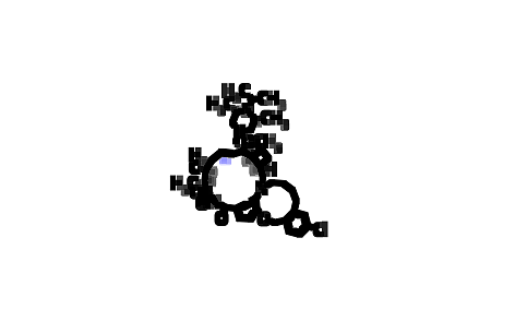 CO[C@]1(CN2C[C@@H](C)N(C(C)C)[C@@H](C)C2)/C=C/C[C@H](C)[C@@H](C)S(=O)(=O)NC(=O)c2ccc3c(c2)N(CCCCc2cc(Cl)ccc2CO3)C[C@@H]2CC[C@H]21